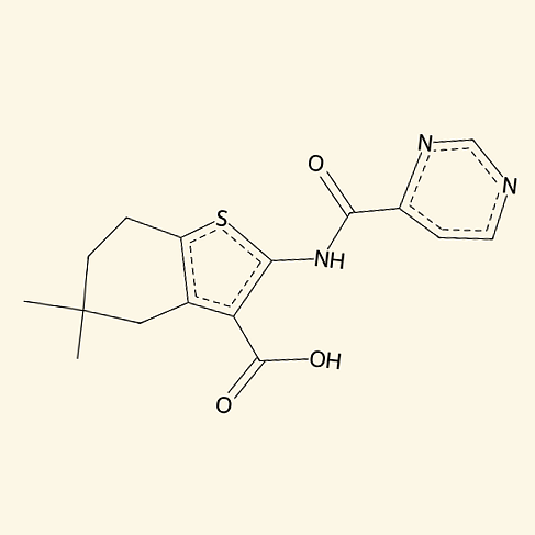 CC1(C)CCc2sc(NC(=O)c3ccncn3)c(C(=O)O)c2C1